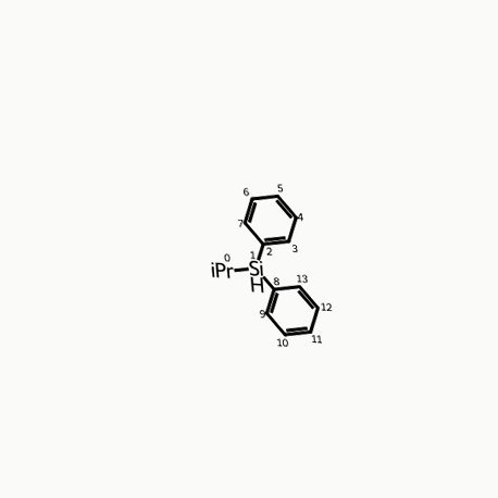 CC(C)[SiH](c1ccccc1)c1ccccc1